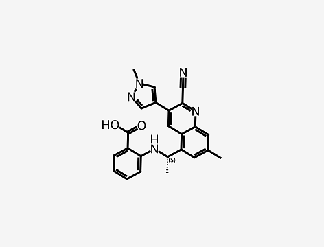 Cc1cc([C@H](C)Nc2ccccc2C(=O)O)c2cc(-c3cnn(C)c3)c(C#N)nc2c1